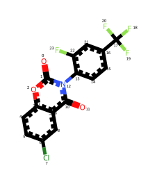 O=c1oc2ccc(Cl)cc2c(=O)n1-c1ccc(C(F)(F)F)cc1F